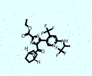 CCOC(=O)c1nc(C(=O)N2[C@H]3CC[C@H]2CC3)c(-c2cnc(NC(C)C(F)(F)F)cc2C(F)(F)F)s1